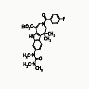 CCOC(=O)C1=CN(C(=O)c2ccc(F)cc2)CC(C)(C)c2c1[nH]c1cc(N(C)C(=O)N(C)C)ccc21